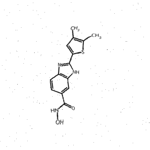 Cc1cc(-c2nc3ccc(C(=O)NO)cc3[nH]2)sc1C